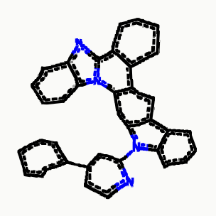 c1ccc(-c2ccnc(-n3c4ccccc4c4cc5c6ccccc6c6nc7ccccc7n6c5cc43)c2)cc1